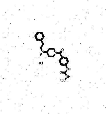 CN(CCc1ccccc1)C1CCN(C(=O)c2ccc(NC(=O)NC(C)(C)C)cc2)CC1.Cl